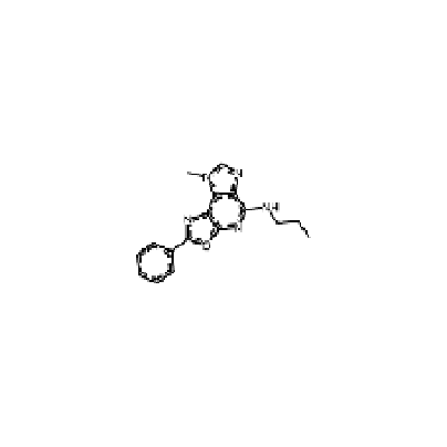 CCCNc1nc2oc(-c3ccccc3)nc2c2c1ncn2C